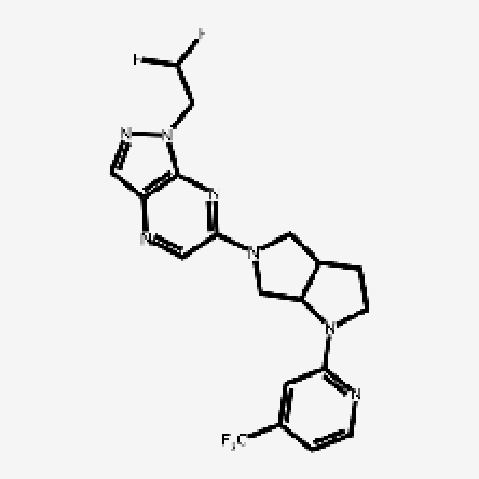 FC(F)Cn1ncc2ncc(N3CC4CCN(c5cc(C(F)(F)F)ccn5)C4C3)nc21